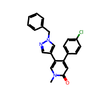 Cn1cc(-c2cnn(Cc3ccccc3)c2)c(-c2ccc(Cl)cc2)cc1=O